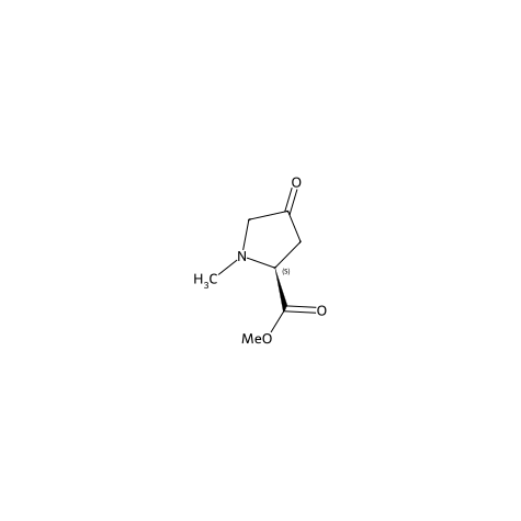 COC(=O)[C@@H]1CC(=O)CN1C